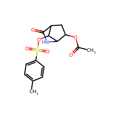 CC(=O)OC1CC2C(=O)NC1C2OS(=O)(=O)c1ccc(C)cc1